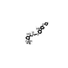 CS(=O)(=O)Nc1cccc([C@@H](O)CNCCOc2ccc3c(c2)[nH]c2cc(OC4CCCC4)ccc23)c1